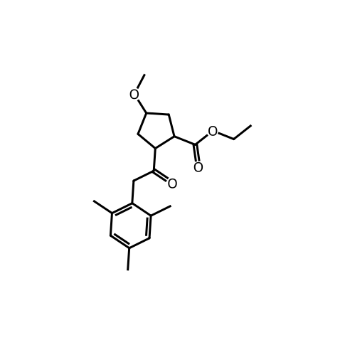 CCOC(=O)C1CC(OC)CC1C(=O)Cc1c(C)cc(C)cc1C